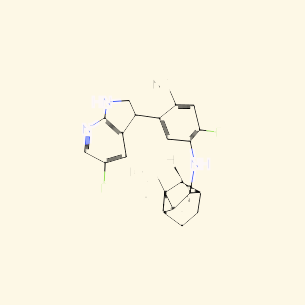 N#Cc1cc(F)c(N[C@@H]2C3CCC(CC3)[C@H]2C(=O)O)cc1C1CNc2ncc(F)cc21